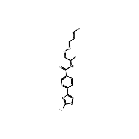 CC(/C=N\OC/C=C/Cl)NC(=O)c1ccc(-c2noc(C(F)(F)F)n2)cc1